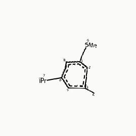 CSc1cc(C)cc(C(C)C)c1